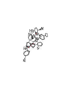 N#Cc1ccc(Nc2ncc(-c3ccccc3Br)c(C(=NN(C(N)=O)c3ccc(Cl)cc3)c3nc(Nc4ccc(C#N)cc4)ncc3-c3ccccc3Br)n2)cc1